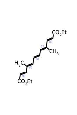 CCOC(=O)/C=C/C(C)=C/C=C/C=C(C)/C=C/C(=O)OCC